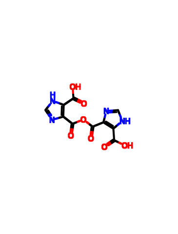 O=C(OC(=O)c1nc[nH]c1C(=O)O)c1nc[nH]c1C(=O)O